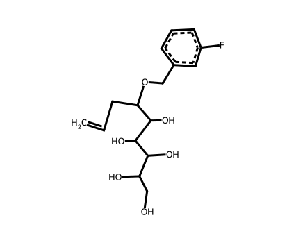 C=CCC(OCc1cccc(F)c1)C(O)C(O)C(O)C(O)CO